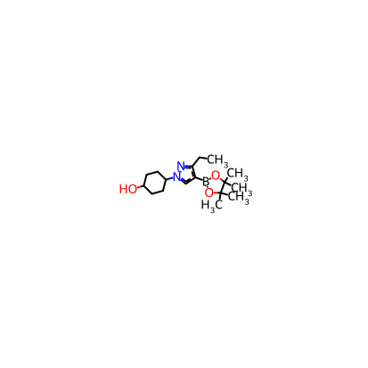 CCc1nn(C2CCC(O)CC2)cc1B1OC(C)(C)C(C)(C)O1